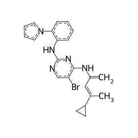 C=C(/C=C(\C)C1CC1)Nc1nc(Nc2ccccc2-n2cccc2)ncc1Br